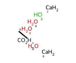 CC(=O)O.Cl.O.O.O.[CaH2].[CaH2]